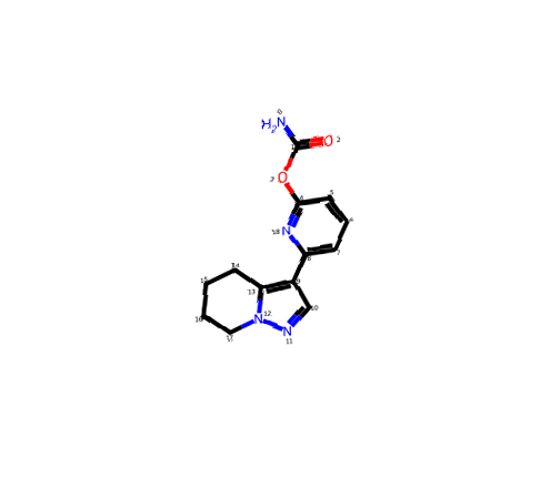 NC(=O)Oc1cccc(-c2cnn3c2CCCC3)n1